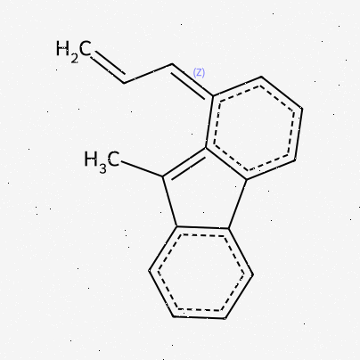 C=C/C=c1/cccc2c1=C(C)c1ccccc1-2